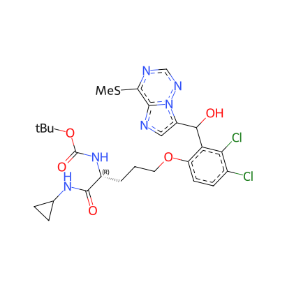 CSc1ncnn2c(C(O)c3c(OCCC[C@@H](NC(=O)OC(C)(C)C)C(=O)NC4CC4)ccc(Cl)c3Cl)cnc12